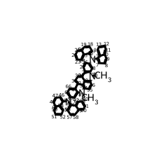 CN1c2cc(N(c3cccc4ccccc34)c3cccc4ccccc34)ccc2-c2ccc3c4c(ccc1c24)N(C)c1cc(N(c2cccc4ccccc24)c2cccc4ccccc24)ccc1-3